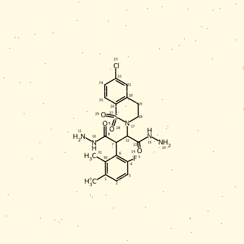 Cc1ccc(F)c(C(C(=O)NN)C(C(=O)NN)N2CCc3cc(Cl)ccc3S2(=O)=O)c1C